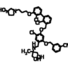 CC(CO)(CO)NCc1cc(Cl)c(OCc2cccc(-c3cccc(OCCCN4CC[C@@H](O)C4)c3Cl)c2Cl)cc1OCc1cccc(C#N)c1